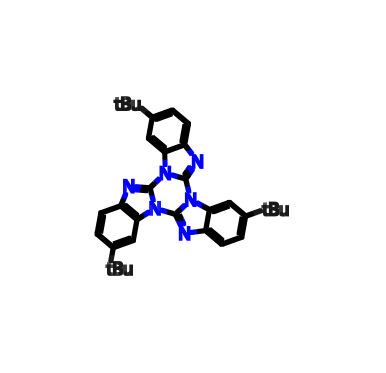 CC(C)(C)c1ccc2nc3n(c2c1)c1nc2ccc(C(C)(C)C)cc2n1c1nc2ccc(C(C)(C)C)cc2n31